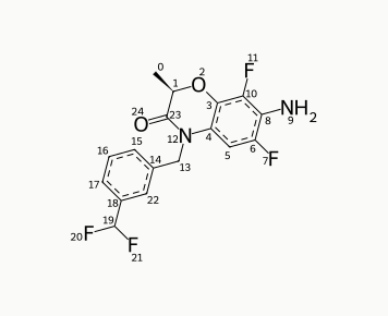 C[C@H]1Oc2c(cc(F)c(N)c2F)N(Cc2cccc(C(F)F)c2)C1=O